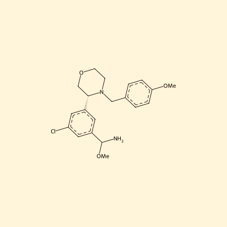 COc1ccc(CN2CCOC[C@H]2c2cc(Cl)cc(C(N)OC)c2)cc1